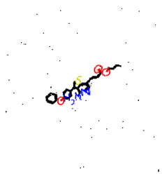 CCCCOC(=O)C=Cc1cnc(N)c2c(-c3ccc(Oc4ccccc4)cc3)csc12